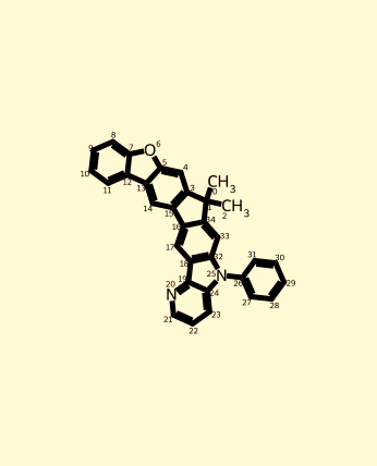 CC1(C)c2cc3oc4ccccc4c3cc2-c2cc3c4ncccc4n(-c4ccccc4)c3cc21